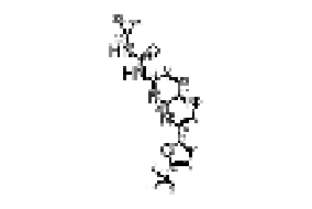 C[Si](C)(C)c1ccc(-c2cnc3ccc(NC(=O)NC4CC4)nc3n2)o1